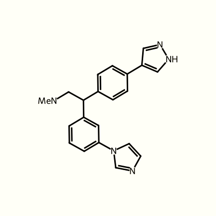 CNCC(c1ccc(-c2cn[nH]c2)cc1)c1cccc(-n2ccnc2)c1